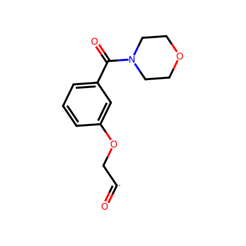 O=[C]COc1cccc(C(=O)N2CCOCC2)c1